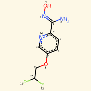 NC(=NO)c1ccc(OCC(F)F)cn1